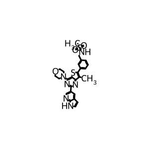 Cc1c(-c2cccc(CNS(C)(=O)=O)c2)sc2c(N3CCOCC3)nc(-c3cnc4[nH]ccc4c3)nc12